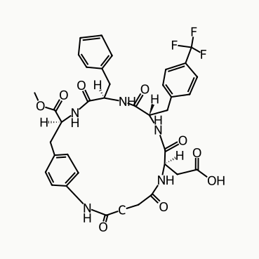 COC(=O)[C@@H]1Cc2ccc(cc2)NC(=O)CCC(=O)N[C@H](CC(=O)O)C(=O)N[C@@H](Cc2ccc(C(F)(F)F)cc2)C(=O)N[C@H](Cc2ccccc2)C(=O)N1